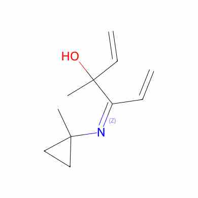 C=C/C(=N/C1(C)CC1)C(C)(O)C=C